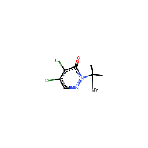 CCCC(C)(C)n1ncc(Cl)c(Cl)c1=O